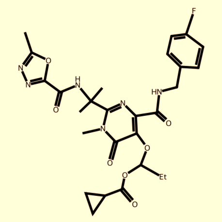 CCC(OC(=O)C1CC1)Oc1c(C(=O)NCc2ccc(F)cc2)nc(C(C)(C)NC(=O)c2nnc(C)o2)n(C)c1=O